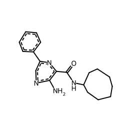 Nc1ncc(-c2ccccc2)nc1C(=O)NC1CCCCCCC1